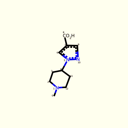 CN1CCC(n2cc(C(=O)O)cn2)CC1